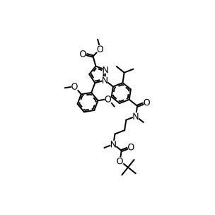 COC(=O)c1cc(-c2c(OC)cccc2OC)n(-c2ccc(C(=O)N(C)CCCN(C)C(=O)OC(C)(C)C)cc2C(C)C)n1